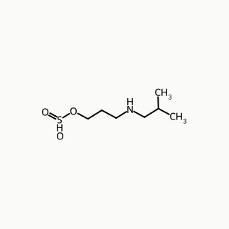 CC(C)CNCCCO[SH](=O)=O